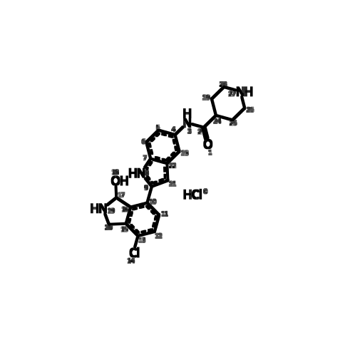 Cl.O=C(Nc1ccc2[nH]c(-c3ccc(Cl)c4c3C(O)NC4)cc2c1)C1CCNCC1